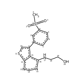 CS(=O)(=O)c1cccc(-c2csc3ncnc(NCCO)c23)c1